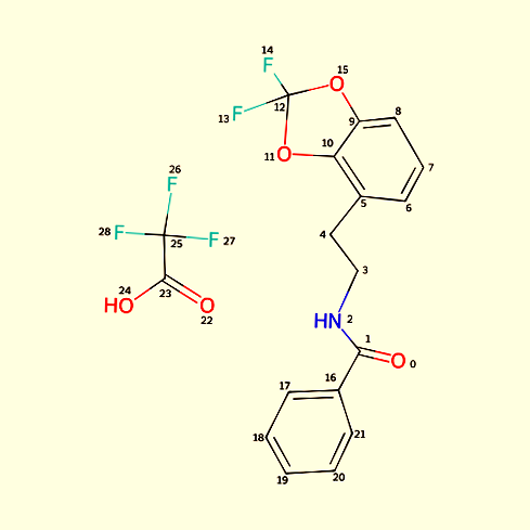 O=C(NCCc1cccc2c1OC(F)(F)O2)c1ccccc1.O=C(O)C(F)(F)F